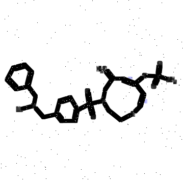 C=C1/C=C(OS(N)(=O)=O)\C=C/CCCN(S(=O)(=O)c2ccc(CN(CC)Cc3ccccc3)cc2)C1